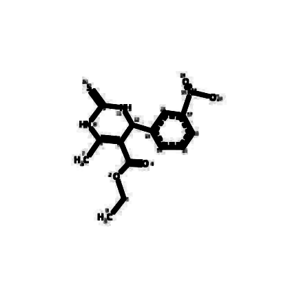 CCOC(=O)C1=C(C)NC(=S)NC1c1cccc([N+](=O)[O-])c1